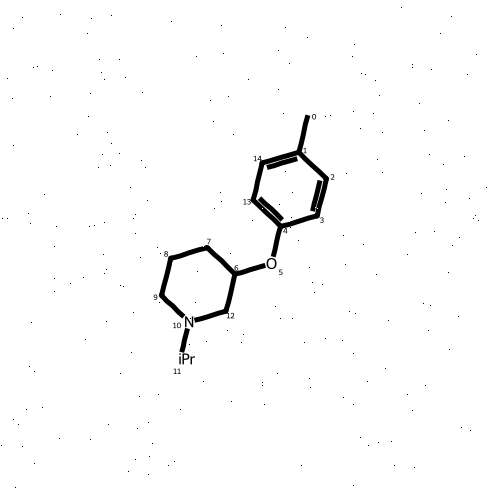 Cc1ccc(OC2CCCN(C(C)C)C2)cc1